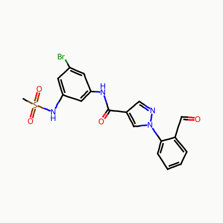 CS(=O)(=O)Nc1cc(Br)cc(NC(=O)c2cnn(-c3ccccc3C=O)c2)c1